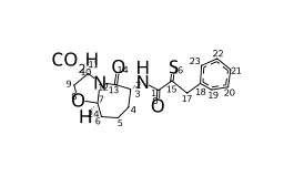 O=C(N[C@@H]1CCC[C@H]2OC[C@H](C(=O)O)N2C1=O)C(=S)Cc1ccccc1